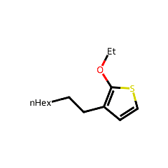 CCCCCCCCc1ccsc1OCC